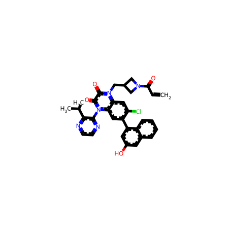 C=CC(=O)N1CC(Cn2c(=O)c(=O)n(-c3nccnc3C(C)C)c3cc(-c4cc(O)cc5ccccc45)c(Cl)cc32)C1